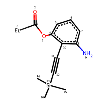 CCC(=O)Oc1cccc(N)c1C#C[Si](C)(C)C